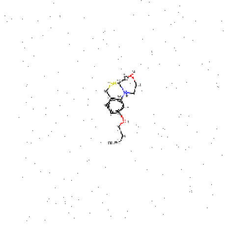 CCCCCCCCCCCCOc1ccc(CS)c(N2CCOCC2)c1